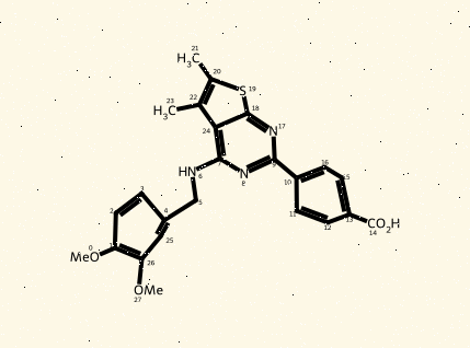 COc1ccc(CNc2nc(-c3ccc(C(=O)O)cc3)nc3sc(C)c(C)c23)cc1OC